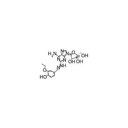 CCOc1cc(/C=N/Nc2nc(N)c3ncn([C@@H]4O[C@H](CO)[C@H](O)C4O)c3n2)ccc1O